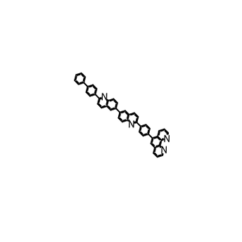 c1ccc(-c2ccc(-c3ccc4cc(-c5ccc6nc(-c7ccc(-c8cc9cccnc9c9ncccc89)cc7)ccc6c5)ccc4n3)cc2)cc1